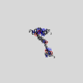 CC(C)N(C)[C@@H]1CC[C@H](N2CC[C@H](Nc3ncnc4ccc(C(F)(F)F)cc34)C2=O)[C@H](NC(=O)CCc2ccc(C3CCN(C(=O)CCCCCNC(=O)[C@H]4CC(=O)N(C)[C@@H]4c4cccnc4)CC3)cc2)C1